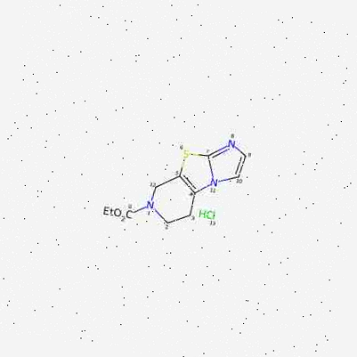 CCOC(=O)N1CCc2c(sc3nccn23)C1.Cl